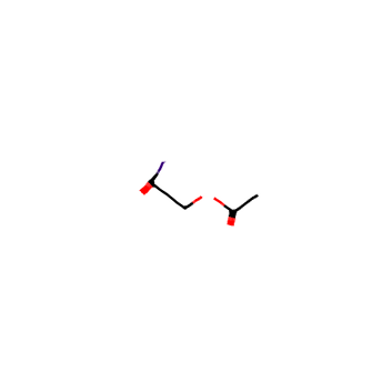 CC(=O)OCC(=O)I